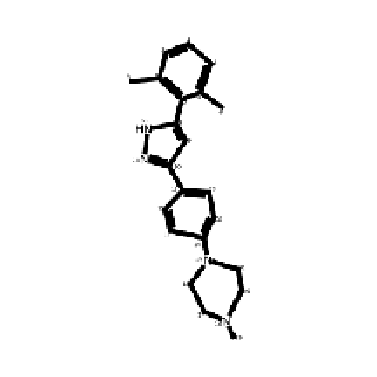 Cc1cccc(C)c1-c1cc(-c2ccc(N3CCN(C)CC3)cc2)n[nH]1